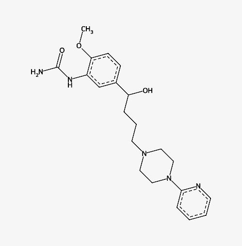 COc1ccc(C(O)CCCN2CCN(c3ccccn3)CC2)cc1NC(N)=O